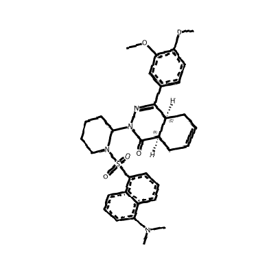 COc1ccc(C2=NN(C3CCCCN3S(=O)(=O)c3cccc4c(N(C)C)cccc34)C(=O)[C@@H]3CC=CC[C@H]23)cc1OC